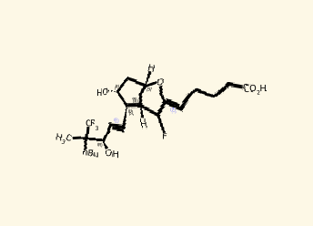 CCCCC(C)([C@H](O)/C=C/[C@@H]1[C@H]2C(F)/C(=C/CCCC(=O)O)O[C@H]2C[C@H]1O)C(F)(F)F